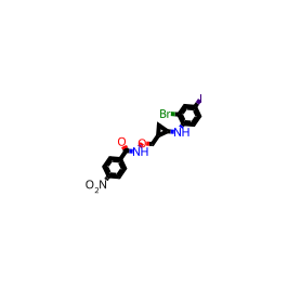 O=C(NOCC1CC1Nc1ccc(I)cc1Br)c1ccc([N+](=O)[O-])cc1